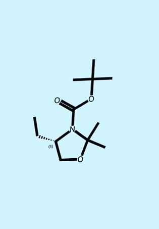 CC[C@H]1COC(C)(C)N1C(=O)OC(C)(C)C